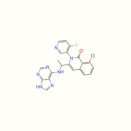 CC(Nc1ncnc2[nH]cnc12)c1cc2cccc(Cl)c2c(=O)n1-c1cnccc1F